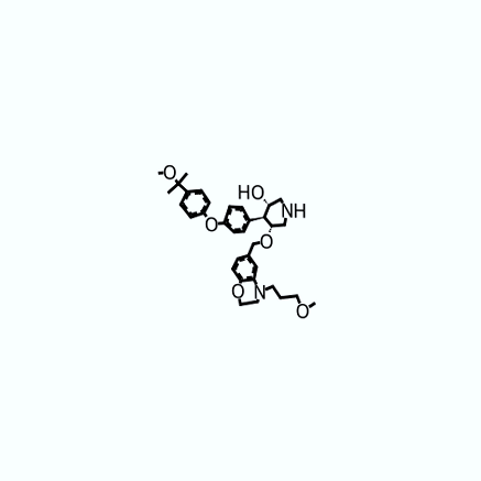 COCCCN1CCOc2ccc(CO[C@H]3CNC[C@@H](O)[C@@H]3c3ccc(Oc4ccc(C(C)(C)OC)cc4)cc3)cc21